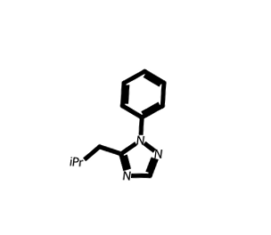 CC(C)Cc1ncnn1-c1ccccc1